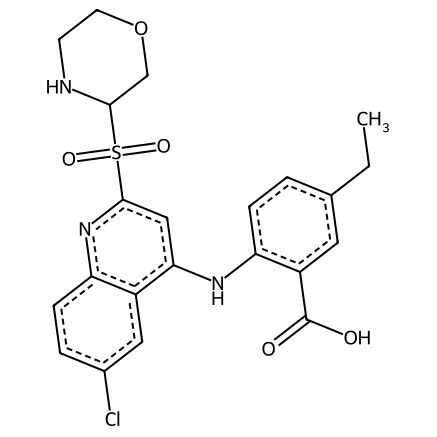 CCc1ccc(Nc2cc(S(=O)(=O)C3COCCN3)nc3ccc(Cl)cc23)c(C(=O)O)c1